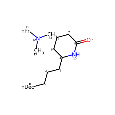 CCCCCCCCCCCCCC1CCCC(=O)N1.CCCN(C)C